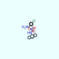 NC(=O)c1ccc(Cl)cc1/[SH](=O)=N/C(=O)NC1C2=C(C=C3CCCC31)CCC2